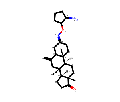 C=C1C[C@@H]2[C@H](CC[C@]3(C)C(=O)CC[C@@H]23)[C@@]2(C)CCC(=NOC3CCCC3N)CC12